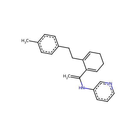 C=C(Nc1cccnc1)C1=CCCC=C1CCc1ccc(C)cc1